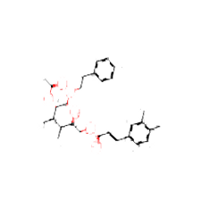 CC(=O)OC1C(OCCc2ccccc2)OC(COC(=O)/C=C/c2ccc(C)c(C)c2)C(C)C1C